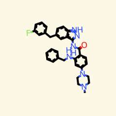 CN1CCN(c2ccc(C(=O)Nc3n[nH]c4ccc(Cc5cccc(F)c5)cc34)c(NCc3ccccc3)c2)CC1